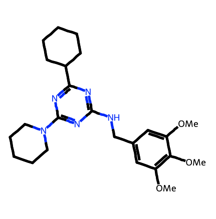 COc1cc(CNc2nc(C3CCCCC3)nc(N3CCCCC3)n2)cc(OC)c1OC